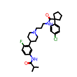 CC(C)C(=O)Nc1ccc(F)c(C2CCN(CCCNC(=O)C3(c4ccc(Cl)cc4)CCCC3)CC2)c1